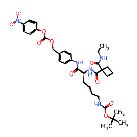 CCNC(=O)C1(C(=O)N[C@@H](CCCCNC(=O)OC(C)(C)C)C(=O)Nc2ccc(COC(=O)Oc3ccc([N+](=O)[O-])cc3)cc2)CCC1